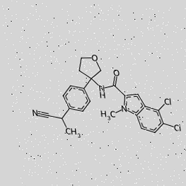 CC(C#N)c1ccc(C2(NC(=O)c3cc4c(Cl)c(Cl)ccc4n3C)CCOC2)cc1